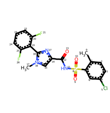 Cc1ccc(Cl)cc1S(=O)(=O)NC(=O)c1cn(C)c(-c2c(F)cccc2F)n1